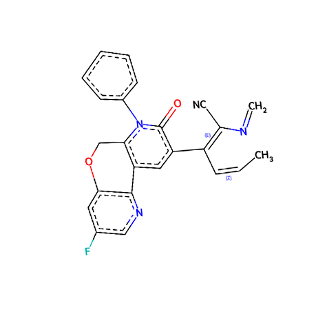 C=N/C(C#N)=C(\C=C/C)c1cc2c(n(-c3ccccc3)c1=O)COc1cc(F)cnc1-2